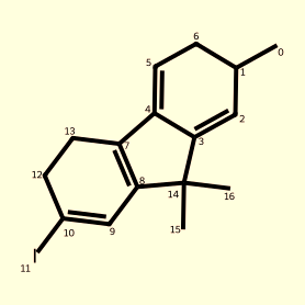 CC1C=C2C(=CC1)C1=C(C=C(I)CC1)C2(C)C